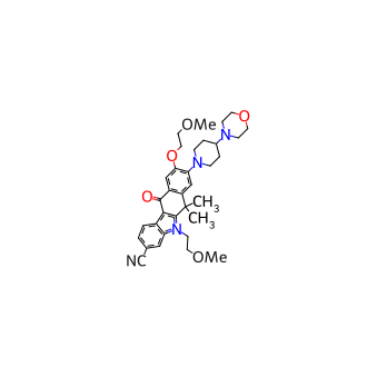 COCCOc1cc2c(cc1N1CCC(N3CCOCC3)CC1)C(C)(C)c1c(c3ccc(C#N)cc3n1CCOC)C2=O